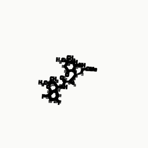 COCC[C@H]([C@@H]1C[C@H]1C(=O)NC1CC(C)(C)Oc2c(F)cc(F)cc21)N1C(=N)NC(C)(C)CC1=O